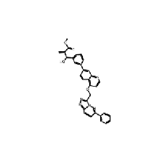 C=C(C(=O)OC)C(O)c1cccc(-c2ccc3c(OCc4nnc5ccc(-c6ccccc6)nn45)ccnc3c2)c1